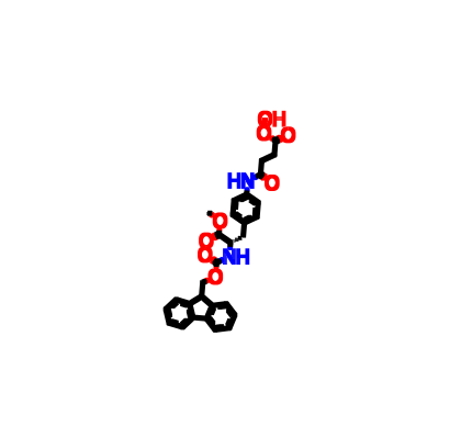 COC(=O)[C@H](Cc1ccc(NC(=O)CCC(=O)OO)cc1)NC(=O)OCC1c2ccccc2-c2ccccc21